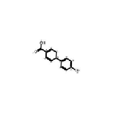 O=C(O)C1=CCC(c2ccc(O)cc2)C=C1